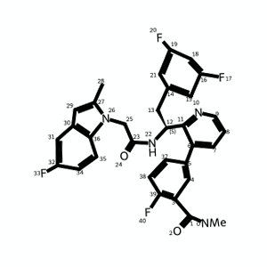 CNC(=O)c1cc(-c2cccnc2[C@H](Cc2cc(F)cc(F)c2)NC(=O)Cn2c(C)cc3cc(F)ccc32)ccc1F